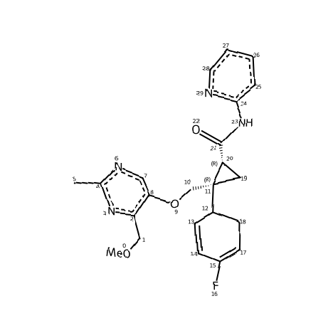 COCc1nc(C)ncc1OC[C@@]1(C2C=CC(F)=CC2)C[C@H]1C(=O)Nc1ccccn1